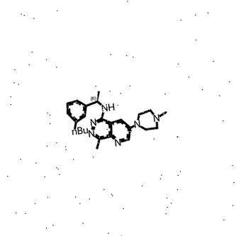 CCCCc1cccc([C@@H](C)Nc2nnc(C)c3ncc(N4CCN(C)CC4)cc23)c1